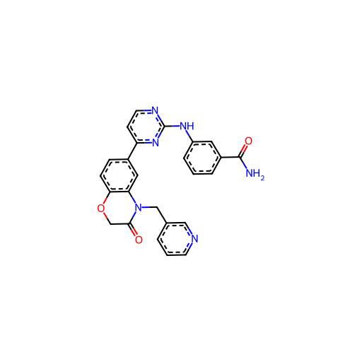 NC(=O)c1cccc(Nc2nccc(-c3ccc4c(c3)N(Cc3cccnc3)C(=O)CO4)n2)c1